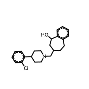 OC1CC(CN2CCC(c3ccccc3Cl)CC2)CCc2ccccc21